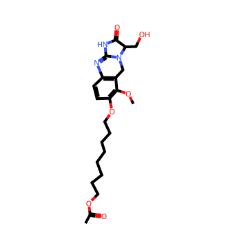 COc1c(OCCCCCCCCOC(C)=O)ccc2c1CN1C(=N2)NC(=O)C1CO